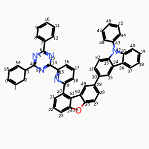 C1=CCC(c2nc(-c3ccccc3)nc(-c3cccc(-c4cccc5oc6ccc(-c7ccc8c(c7)c7ccccc7n8-c7ccccc7)cc6c45)n3)n2)C=C1